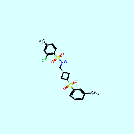 Cc1cccc(S(=O)(=O)[C@H]2C[C@H](CNS(=O)(=O)c3ccc(C(F)(F)F)cc3Cl)C2)c1